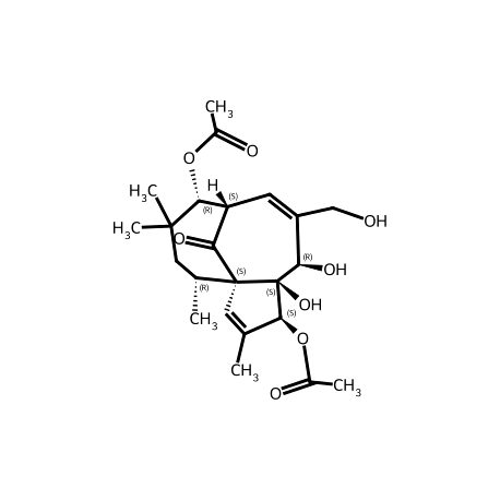 CC(=O)O[C@@H]1[C@@H]2C=C(CO)[C@@H](O)[C@]3(O)[C@@H](OC(C)=O)C(C)=C[C@@]3(C2=O)[C@H](C)CC1(C)C